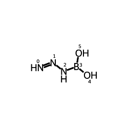 N=NNB(O)O